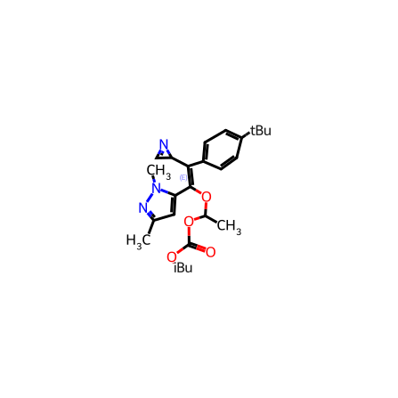 CCC(C)OC(=O)OC(C)O/C(=C(\c1ccc(C(C)(C)C)cc1)C1C=N1)c1cc(C)nn1C